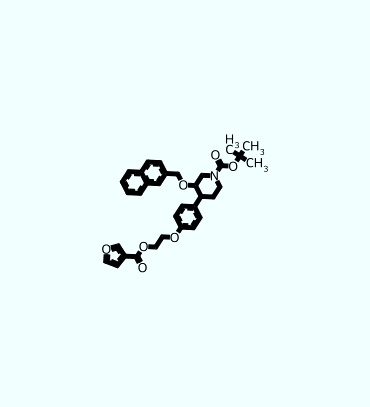 CC(C)(C)OC(=O)N1CCC(c2ccc(OCCOC(=O)c3ccoc3)cc2)C(OCc2ccc3ccccc3c2)C1